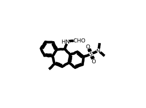 CC1=Cc2ccc(S(=O)(=O)N(C)C)cc2C(NC=O)c2ccccc21